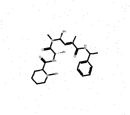 C/C(=C\[C@H](C(C)C)N(C)C(=O)[C@@H](NC(=O)C1CCCCN1C(C)C)C(C)C)C(=O)NC(C)c1ccccc1